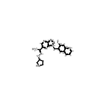 CC(=NOC1CCNC1)c1cnc2nnn(Cc3cc4cccnc4cc3F)c2n1